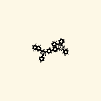 c1ccc(-c2nc(-c3ccc(-c4ccc(-c5nc(-c6ccccc6)nc6c7ccccc7c(-c7ccccc7)n56)cc4)cc3)cc(-c3ccc4ccccc4c3)n2)cc1